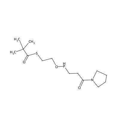 CC(C)(C)C(=O)SCCOPCCC(=O)N1CCCC1